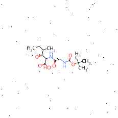 CCC(C)C(=O)C(NC(=O)CNC(=O)OC(C)(C)C)C(=O)O